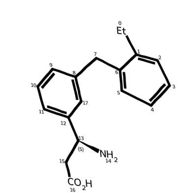 CCc1ccccc1Cc1cccc([C@@H](N)CC(=O)O)c1